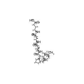 [13CH3][15N]1[13CH2][13CH2][15N]([13CH2]C2CCCN2CC(=O)[15NH][13CH2][13CH2][13C](=O)NC[13CH2][13C](=O)NCCCC(=O)O)[13CH2][13CH2]1